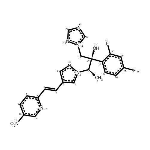 C[C@@H](n1cc(C=Cc2ccc([N+](=O)[O-])cn2)cn1)[C@](O)(Cn1cncn1)c1ccc(F)cc1F